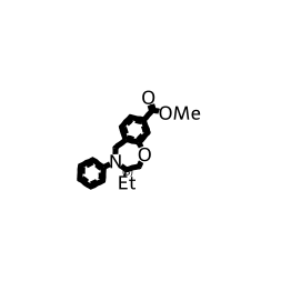 CC[C@H]1COc2cc(C(=O)OC)ccc2CN1c1ccccc1